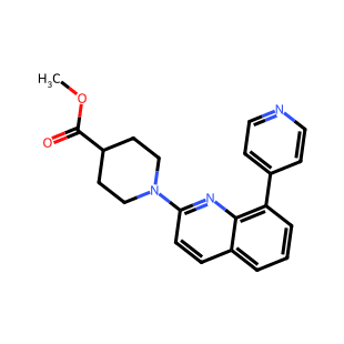 COC(=O)C1CCN(c2ccc3cccc(-c4ccncc4)c3n2)CC1